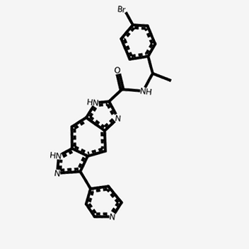 CC(NC(=O)c1nc2cc3c(-c4ccncc4)n[nH]c3cc2[nH]1)c1ccc(Br)cc1